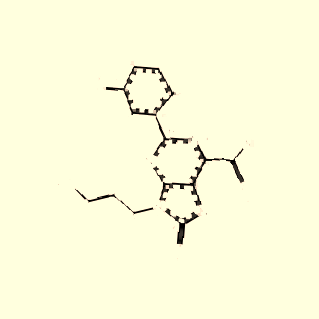 CCCCn1c(=O)[nH]c2c(C(N)=O)nc(-c3cccc(O)c3)nc21